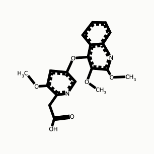 COc1cc(Oc2c(OC)c(OC)nc3ccccc23)cnc1CC(=O)O